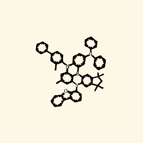 Cc1cc2c3c(c1)N(c1cccc4c1oc1ccccc14)c1cc4c(cc1B3c1cc(N(c3ccccc3)c3ccccc3)ccc1N2c1ccc(-c2ccccc2)cc1C)C(C)(C)CC4(C)C